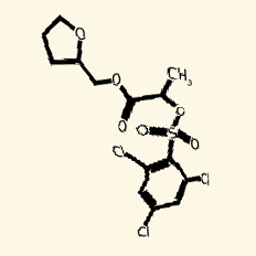 CC(OS(=O)(=O)c1c(Cl)cc(Cl)cc1Cl)C(=O)OCC1CCCO1